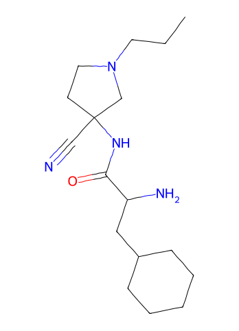 CCCN1CCC(C#N)(NC(=O)C(N)CC2CCCCC2)C1